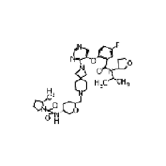 CC(C)N(C(=O)c1cc(F)ccc1Oc1cncnc1N1CC2(CCN(C[C@@H]3CC[C@@H](NS(=O)(=O)N4CCC[C@H]4C)CO3)CC2)C1)C1CCOC1